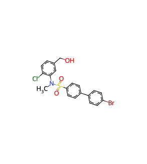 CN(c1cc(CO)ccc1Cl)S(=O)(=O)c1ccc(-c2ccc(Br)cc2)cc1